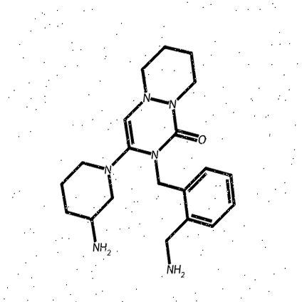 NCc1ccccc1CN1C(=O)N2CCCCN2C=C1N1CCCC(N)C1